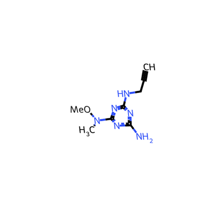 C#CCNc1nc(N)nc(N(C)OC)n1